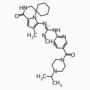 C=N/C(=N\c1c(C)cc2n1C1(CCCCC1)CNC2=O)Nc1ccc(C(=O)N2CCN(C(C)C)CC2)cn1